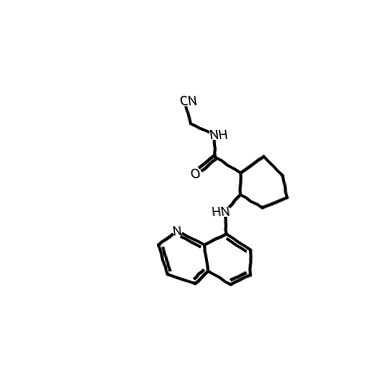 N#CCNC(=O)C1CCCCC1Nc1cccc2cccnc12